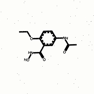 CCOc1ccc(NC(C)=O)cc1C(=O)NO